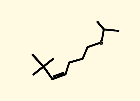 CC(C)SCCC/C=C\C(C)(C)C